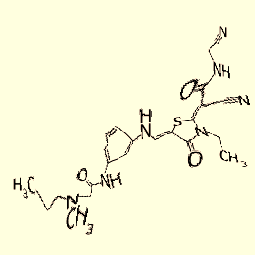 CCCN(C)CC(=O)Nc1cccc(NC=c2sc(=C(C#N)C(=O)NCC#N)n(CC)c2=O)c1